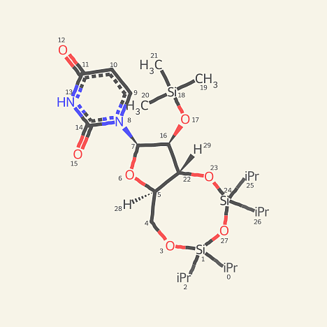 CC(C)[Si]1(C(C)C)OC[C@H]2O[C@@H](n3ccc(=O)[nH]c3=O)[C@@H](O[Si](C)(C)C)[C@@H]2O[Si](C(C)C)(C(C)C)O1